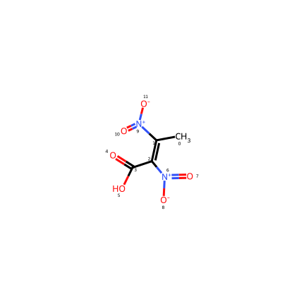 C/C(=C(/C(=O)O)[N+](=O)[O-])[N+](=O)[O-]